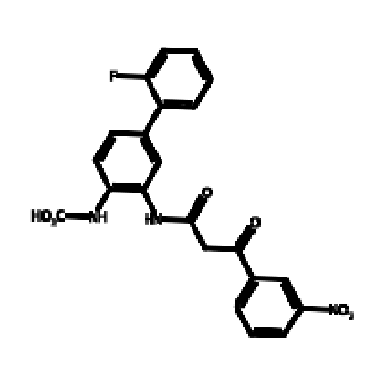 O=C(O)Nc1ccc(-c2ccccc2F)cc1NC(=O)CC(=O)c1cccc([N+](=O)[O-])c1